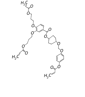 C=CC(=O)OCCCOc1ccc(C(=O)OC2CCC(OCOc3ccc(OC(=O)C=C)cc3)CC2)cc1OCCCOC(=O)C=C